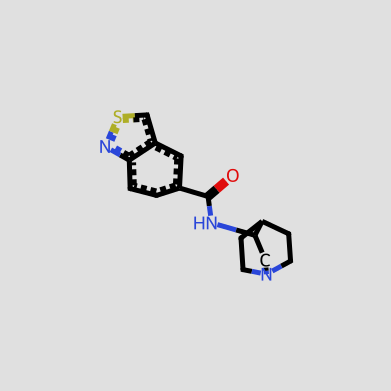 O=C(NC1CN2CCC1CC2)c1ccc2nscc2c1